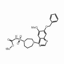 COc1cc2c(N3CCCN(S(=O)(=O)NC(=O)OC(C)(C)C)CC3)ncnc2cc1OCc1ccccc1